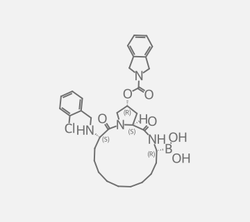 O=C1N[C@H](B(O)O)CCCCCCCCC[C@H](NCc2ccccc2Cl)C(=O)N2C[C@H](OC(=O)N3Cc4ccccc4C3)C[C@@H]12